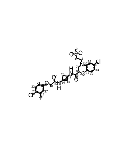 CS(=O)(=O)CCN1CC(C(=O)NC23CC(NC(=O)COc4ccc(Cl)c(F)c4)(C2)C3)Oc2ccc(Cl)cc21